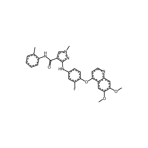 COc1cc2nccc(Oc3ccc(Nc4nn(C)cc4C(=O)Nc4ccccc4C)cc3F)c2cc1OC